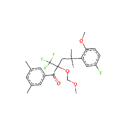 COCOC(CC(C)(C)c1cc(F)ccc1OC)(C(=O)c1cc(C)cc(C)c1)C(F)(F)F